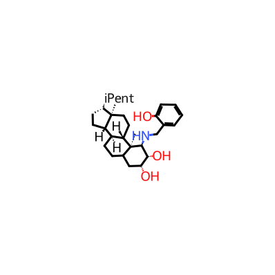 CCC[C@@H](C)[C@H]1CC[C@H]2[C@@H]3CCC4C[C@@H](O)[C@@H](O)[C@H](NCc5ccccc5O)[C@]4(C)[C@H]3CC[C@]12C